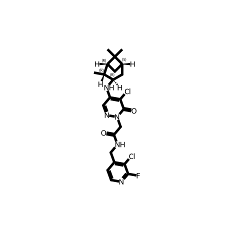 C[C@@H]1[C@H]2C[C@@H](C[C@H]1Nc1cnn(CC(=O)NCc3ccnc(F)c3Cl)c(=O)c1Cl)C2(C)C